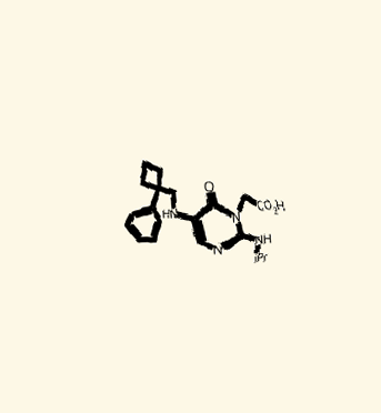 CC(C)Nc1ncc(NCC2(c3ccccc3)CCC2)c(=O)n1CC(=O)O